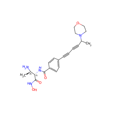 CC(C#CC#Cc1ccc(C(=O)N[C@H](C(=O)NO)[C@@H](C)N)cc1)N1CCOCC1